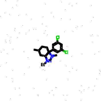 CCNC1CC(C)CCC1(c1cc(Cl)cc(Cl)c1)N(C)C